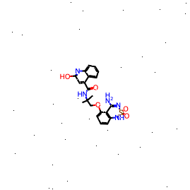 CC(C)(COc1cccc2c1C(N)=NS(=O)(=O)N2)NC(=O)c1cc(O)nc2ccccc12